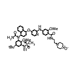 [CH2]CN(c1cc(C(C)(C)C)cc(N(C(N)=O)c2ccc(Oc3ccnc(Nc4ccc(C(=O)NCCN5CC[S+]([O-])CC5)c(OC)c4)c3)c3ccccc23)c1OC)S(C)(=O)=O